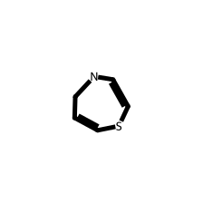 C1=CSC=C[N]C1